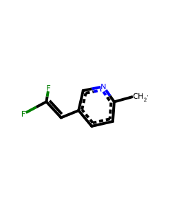 [CH2]c1ccc(C=C(F)F)cn1